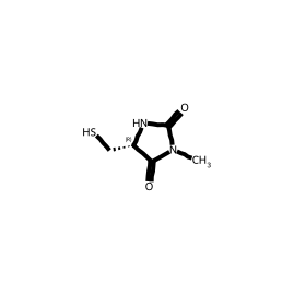 CN1C(=O)N[C@@H](CS)C1=O